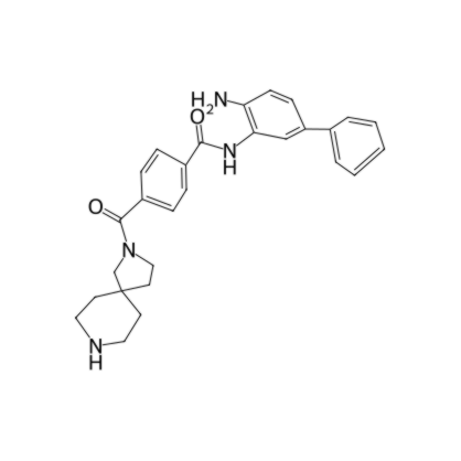 Nc1ccc(-c2ccccc2)cc1NC(=O)c1ccc(C(=O)N2CCC3(CCNCC3)C2)cc1